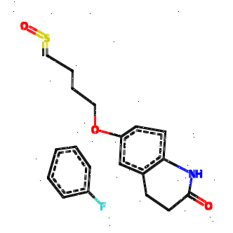 Fc1ccccc1.O=S=CCCCOc1ccc2c(c1)CCC(=O)N2